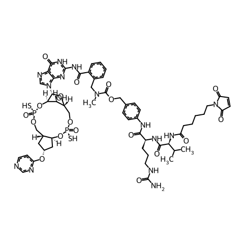 CC(C)[C@H](NC(=O)CCCCCN1C(=O)C=CC1=O)C(=O)N[C@@H](CCCNC(N)=O)C(=O)Nc1ccc(COC(=O)N(C)Cc2ccccc2C(=O)Nc2nc3c(ncn3[C@@H]3O[C@@H]4CO[P@@](=O)(S)O[C@H]5C[C@H](Oc6ccncn6)C[C@@H]5COP(=O)(S)O[C@@H]3[C@@H]4O)c(=O)[nH]2)cc1